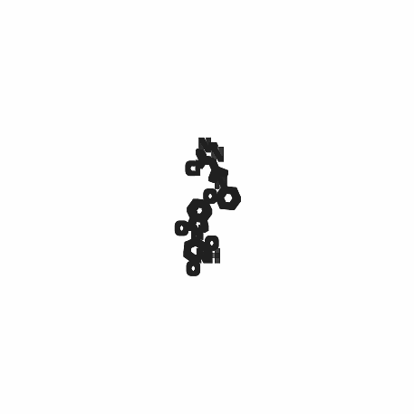 O=C1CCC(N2Cc3cc(O[C@@H]4CCCCC4N4CC(c5ncncc5Cl)C4)ccc3C2=O)C(=O)N1